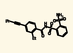 CCc1cc(C#CC(C)C)ccc1C(=O)NS(=O)(=O)c1ccccc1S(N)(=O)=O